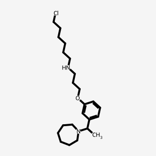 CC(c1cccc(OCCCNCCCCCCCl)c1)N1CCCCCC1